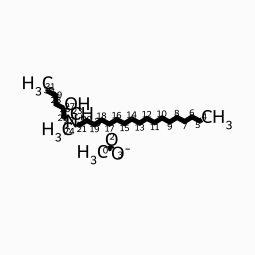 CC(=O)[O-].CCCCCCCCCCCCCCCCCC[N+](C)(C)CC(O)CCCC